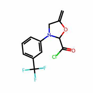 C=C1CN(c2cccc(C(F)(F)F)c2)C(C(=O)Cl)O1